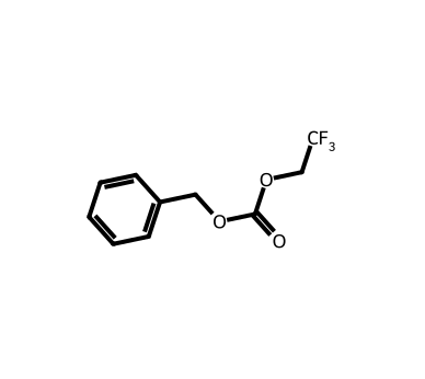 O=C(OCc1ccccc1)OCC(F)(F)F